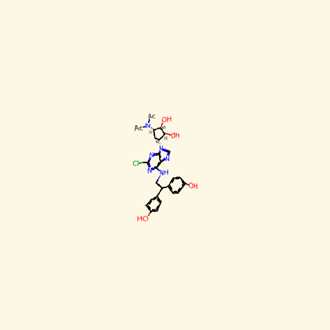 CC(=O)N(C(C)=O)[C@H]1C[C@@H](n2cnc3c(NCC(c4ccc(O)cc4)c4ccc(O)cc4)nc(Cl)nc32)[C@H](O)[C@@H]1O